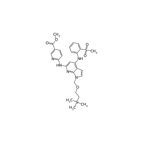 COC(=O)c1ccc(Nc2cc(Nc3ccccc3S(C)(=O)=O)c3ccn(COCC[Si](C)(C)C)c3n2)nc1